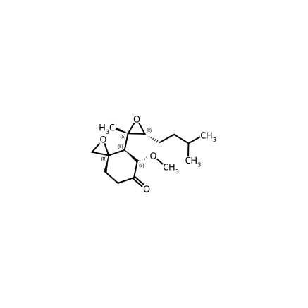 CO[C@@H]1C(=O)CC[C@]2(CO2)[C@H]1[C@]1(C)O[C@@H]1CCC(C)C